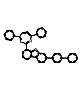 C1=CC(c2ccccc2)=NC(c2cccc3c2sc2cc(-c4ccc(-c5ccccc5)cc4)ccc23)=NC=1c1ccccc1